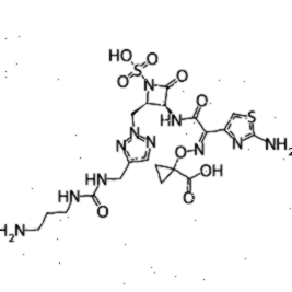 NCCCNC(=O)NCc1cnn(C[C@@H]2[C@H](NC(=O)C(=NOC3(C(=O)O)CC3)c3csc(N)n3)C(=O)N2S(=O)(=O)O)n1